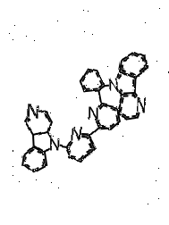 C1=CC2C(C=N1)c1ccccc1N2c1cccc(-c2cccc(-c3ccccc3-n3c4ccccc4c4ncccc43)n2)n1